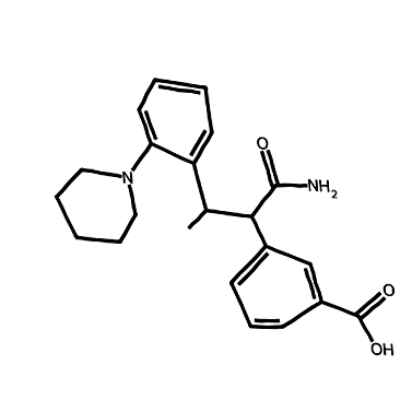 CC(c1ccccc1N1CCCCC1)C(C(N)=O)c1cccc(C(=O)O)c1